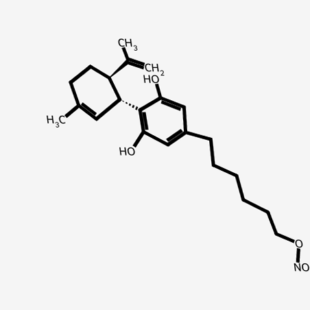 C=C(C)[C@@H]1CCC(C)=C[C@H]1c1c(O)cc(CCCCCCO[N+](=O)[O-])cc1O